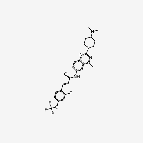 Cc1nc(N2CCC(N(C)C)CC2)nc2ccc(NC(=O)C=Cc3ccc(OC(F)(F)F)cc3F)cc12